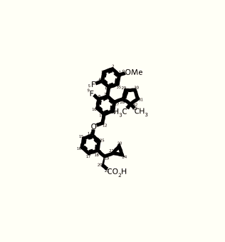 COc1ccc(F)c(-c2c(F)cc(COc3cccc([C@H](CC(=O)O)C4CC4)c3)cc2C2=CCCC2(C)C)c1